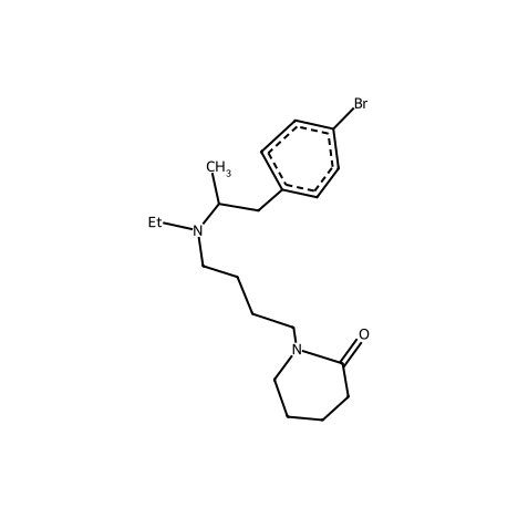 CCN(CCCCN1CCCCC1=O)C(C)Cc1ccc(Br)cc1